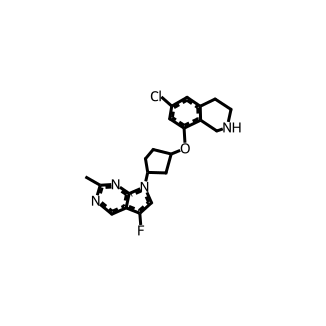 Cc1ncc2c(F)cn(C3CCC(Oc4cc(Cl)cc5c4CNCC5)C3)c2n1